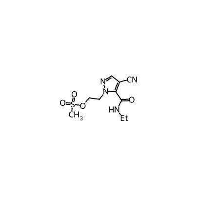 CCNC(=O)c1c(C#N)cnn1CCOS(C)(=O)=O